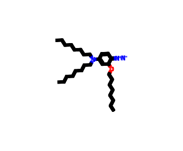 CCCCCCCCOC1C=C(N(CCCCCCCC)CCCCCCCC)C=CC1=[N+]=[N-]